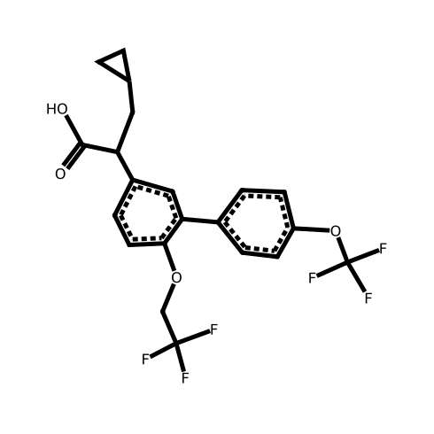 O=C(O)C(CC1CC1)c1ccc(OCC(F)(F)F)c(-c2ccc(OC(F)(F)F)cc2)c1